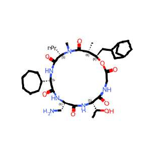 CCC[C@H]1C(=O)N[C@@H](C2CCCCCC2)C(=O)N[C@@H](CN)C(=O)N[C@@H](C(C)O)C(=O)NCC(=O)O[C@H](CC2CC3CCC2C3)[C@@H](C)C(=O)N1C